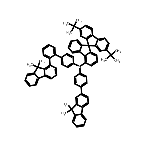 CC(C)(C)c1ccc2c(c1)C1(c3cc(C(C)(C)C)ccc3-2)c2ccccc2-c2c(N(c3ccc(-c4ccc5c(c4)C(C)(C)c4ccccc4-5)cc3)c3ccc(-c4ccccc4-c4cccc5c4C(C)(C)c4ccccc4-5)cc3)cccc21